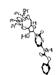 CC(C)[Si]1(C(C)C)OC[C@H]2O[C@@H](n3ccc(NC(=O)Oc4ccccc4)nc3=O)[C@@H](O)C2O[Si](C(C)C)(C(C)C)O1